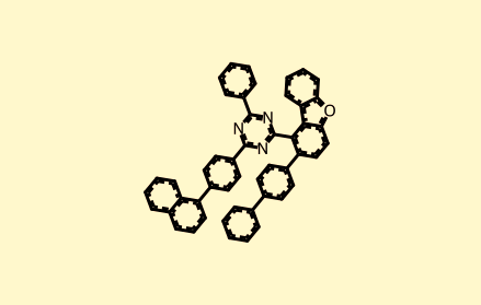 c1ccc(-c2ccc(-c3ccc4oc5ccccc5c4c3-c3nc(-c4ccccc4)nc(-c4ccc(-c5cccc6ccccc56)cc4)n3)cc2)cc1